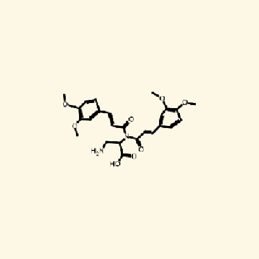 COc1ccc(C=CC(=O)N(C(=O)C=Cc2ccc(OC)c(OC)c2)C(CN)C(=O)O)cc1OC